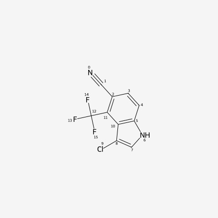 N#Cc1ccc2[nH]cc(Cl)c2c1C(F)(F)F